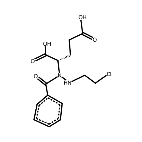 O=C(O)CC[C@@H](C(=O)O)N(NCCCl)C(=O)c1ccccc1